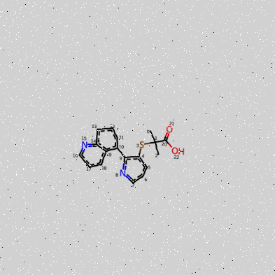 CC(C)(Sc1cccnc1-c1cccc2ncccc12)C(=O)O